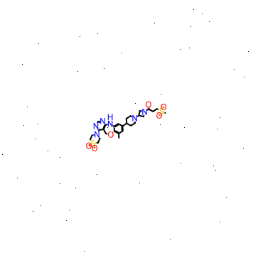 Cc1cc(C2CCN(C3CN(C(=O)CCS(C)(=O)=O)C3)CC2)cc2c1OCc1c(ncnc1N1CCS(=O)(=O)CC1)N2